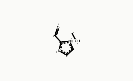 CO.O=Cc1ncc[nH]1